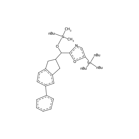 CCCC[Si](C)(C)OC(c1nc[c]([Sn]([CH2]CCC)([CH2]CCC)[CH2]CCC)o1)C1Cc2ccc(-c3ccccc3)cc2C1